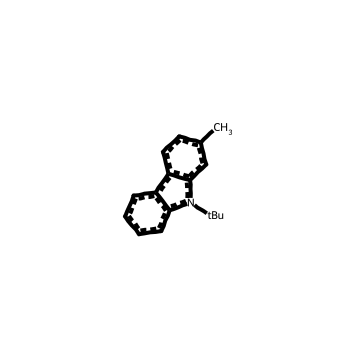 Cc1ccc2c3ccccc3n(C(C)(C)C)c2c1